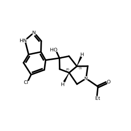 CCC(=O)N1C[C@@H]2CC(O)(c3cc(Cl)cc4[nH]ncc34)C[C@@H]2C1